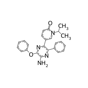 CC(C)n1cc(-c2nc(Oc3ccccc3)c(N)nc2-c2ccccc2)ccc1=O